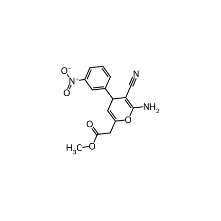 COC(=O)CC1=CC(c2cccc([N+](=O)[O-])c2)C(C#N)=C(N)O1